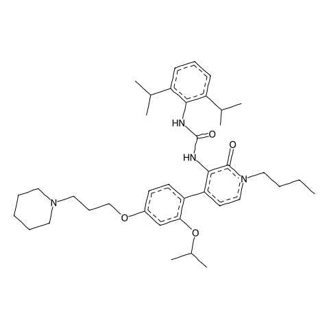 CCCCn1ccc(-c2ccc(OCCCN3CCCCC3)cc2OC(C)C)c(NC(=O)Nc2c(C(C)C)cccc2C(C)C)c1=O